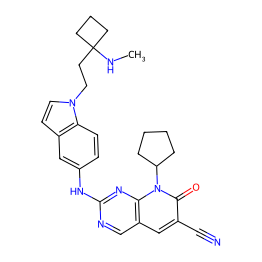 CNC1(CCn2ccc3cc(Nc4ncc5cc(C#N)c(=O)n(C6CCCC6)c5n4)ccc32)CCC1